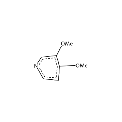 COc1ccncc1OC